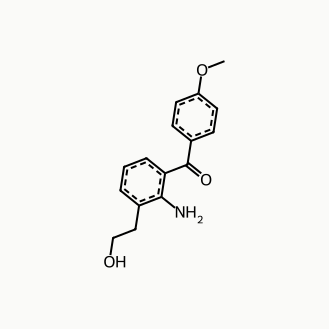 COc1ccc(C(=O)c2cccc(CCO)c2N)cc1